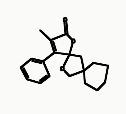 CC1=C(c2ccccc2)C2(CC3(CCCCC3)CO2)OC1=O